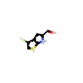 O=Cc1cc2c(F)csc2[nH]1